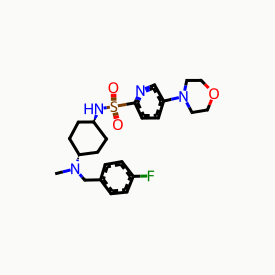 CN(Cc1ccc(F)cc1)[C@H]1CC[C@H](NS(=O)(=O)c2ccc(N3CCOCC3)cn2)CC1